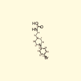 O=C(O)NCCC1CCN(c2ccc(Br)cc2)CC1